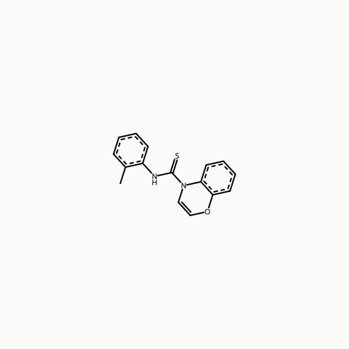 Cc1ccccc1NC(=S)N1C=COc2ccccc21